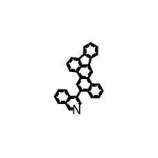 c1ccc2c(c1)-c1cccc3c1c-2cc1c2ccccc2c(-c2cncc4ccccc24)cc31